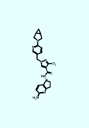 Nc1ccc2c(n1)CC[C@H]2NC(=O)c1cn(Cc2ccc(N3CC4CC4C3)nc2)nc1C(F)(F)F